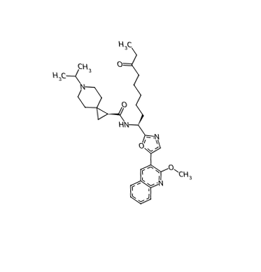 CCC(=O)CCCCC[C@H](NC(=O)[C@H]1CC12CCN(C(C)C)CC2)c1ncc(-c2cc3ccccc3nc2OC)o1